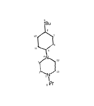 CC(C)N1CCN(C2CCC(C(C)(C)C)CC2)CC1